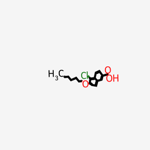 CCCCCCCOc1ccc2cc(C(=O)O)ccc2c1Cl